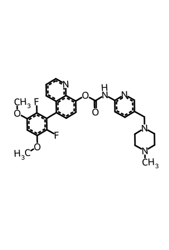 COc1cc(OC)c(F)c(-c2ccc(OC(=O)Nc3ccc(CN4CCN(C)CC4)cn3)c3ncccc23)c1F